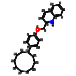 c1ccc2nc(COc3ccc(C4CCCCCCCCC4)cc3)ccc2c1